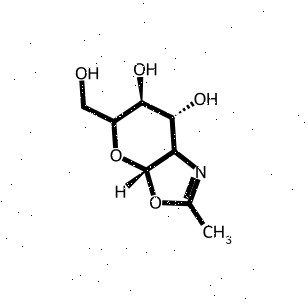 CC1=NC2[C@H](O1)OC(CO)[C@@H](O)[C@@H]2O